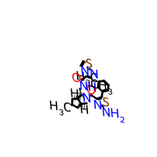 Cc1cccc(-c2sc(N)nc2C(=O)N2C[C@@H]3CC(C)C[C@@H]3[C@H]2CNC(=O)c2c(C)nc3sccn23)c1